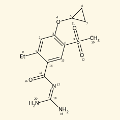 CCc1cc(OC2CC2)c(S(C)(=O)=O)cc1C(=O)N=C(N)N